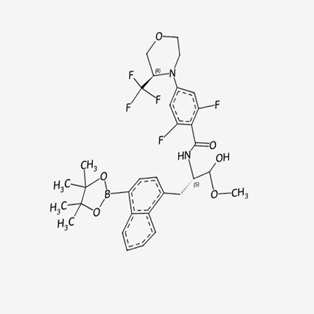 COC(O)[C@H](Cc1ccc(B2OC(C)(C)C(C)(C)O2)c2ccccc12)NC(=O)c1c(F)cc(N2CCOC[C@@H]2C(F)(F)F)cc1F